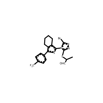 CC(C=O)Sc1nnc(Br)n1-c1sc(-c2ccc(C(F)(F)F)cc2)c2c1CCCC2